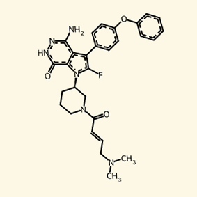 CN(C)CC=CC(=O)N1CCC[C@@H](n2c(F)c(-c3ccc(Oc4ccccc4)cc3)c3c(N)n[nH]c(=O)c32)C1